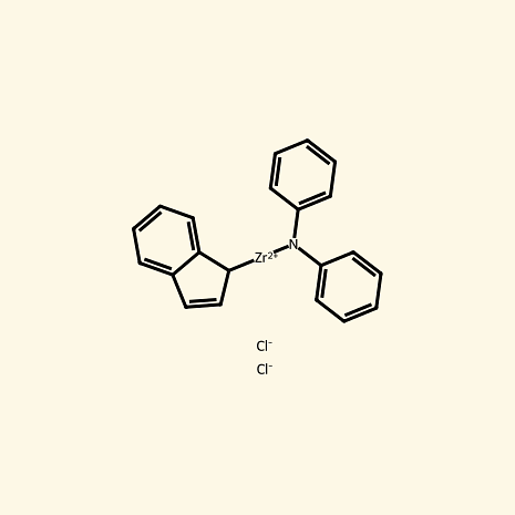 C1=C[CH]([Zr+2][N](c2ccccc2)c2ccccc2)c2ccccc21.[Cl-].[Cl-]